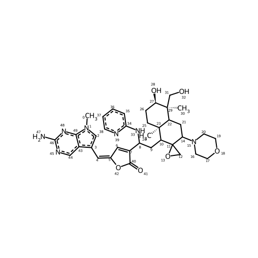 Cn1cc(/C=C2\C=C(C(CC3C4(CO4)C(N4CCOCC4)CC4[C@]3(C)CC[C@@H](O)[C@@]4(C)CO)Nc3ccccn3)C(=O)O2)c2cnc(N)nc21